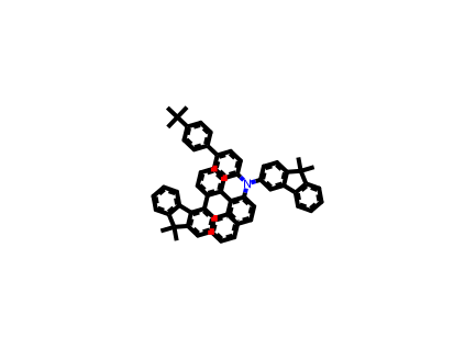 CC(C)(C)c1ccc(-c2ccc(N(c3ccc4c(c3)-c3ccccc3C4(C)C)c3ccc4ccccc4c3-c3ccccc3-c3cccc4c3-c3ccccc3C4(C)C)cc2)cc1